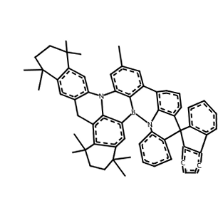 Cc1cc2c3c(c1)N1c4cc5c(cc4Cc4c1c(cc1c4C(C)(C)CCC1(C)C)B3N1c3ccccc3C3(c4ccccc4-c4ccccc43)c3cccc-2c31)C(C)(C)CCC5(C)C